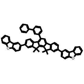 CC1(C)c2cc(-c3ccc4oc5ccccc5c4c3)ccc2-c2cc(-c3cccc(-c4ccccc4)c3)c3c(c21)C(C)(C)c1cc(-c2ccc4oc5ccccc5c4c2)ccc1-3